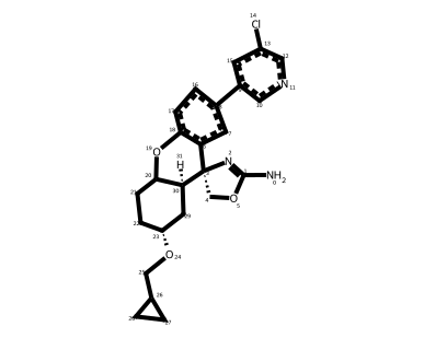 NC1=N[C@]2(CO1)c1cc(-c3cncc(Cl)c3)ccc1OC1CC[C@@H](OCC3CC3)C[C@@H]12